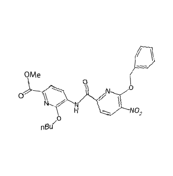 CCCCOc1nc(C(=O)OC)ccc1NC(=O)c1ccc([N+](=O)[O-])c(OCc2ccccc2)n1